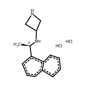 C[C@@H](NC1CNC1)c1cccc2ccccc12.Cl.Cl